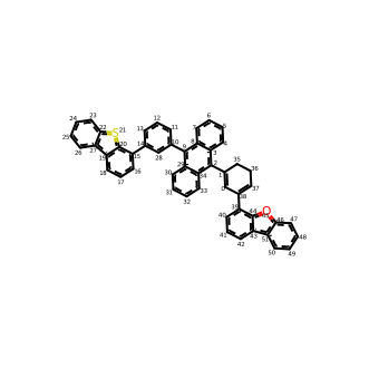 C1=C(c2c3ccccc3c(-c3cccc(-c4cccc5c4sc4ccccc45)c3)c3ccccc23)CCC=C1c1cccc2c1oc1ccccc12